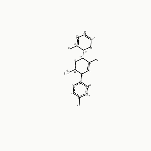 CC1=CC(c2ccc(C)nn2)C(O)CC1[C@H]1CN=NN=C1C